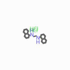 Cl.Cl.c1ccc2c(NCCNc3cccc4ccccc34)cccc2c1